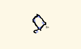 CC1=C(c2ccccn2)C2=NC1=CC1=NC(=CC3=NC(=CC4=NC(=C2)C=C4)C=C3)C=C1.[Zn]